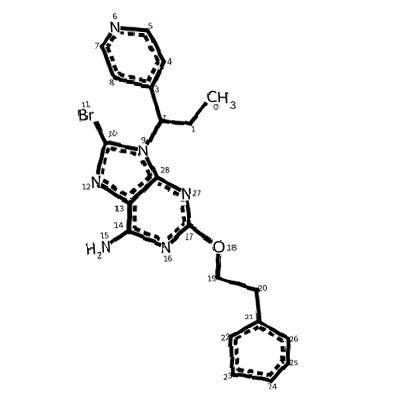 CCC(c1ccncc1)n1c(Br)nc2c(N)nc(OCCc3ccccc3)nc21